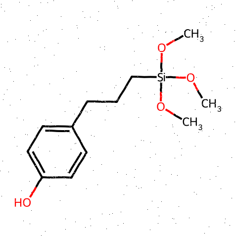 CO[Si](CCCc1ccc(O)cc1)(OC)OC